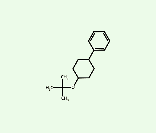 CC(C)(C)OC1CCC(c2ccccc2)CC1